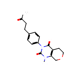 COC(=O)CCc1ccc(-n2c(=O)c3c(n(C)c2=O)COCC3)cc1